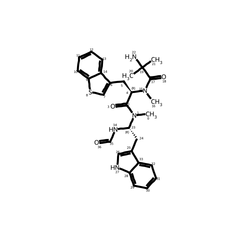 CN(C(=O)[C@@H](Cc1csc2ccccc12)N(C)C(=O)C(C)(C)N)[C@H](Cc1c[nH]c2ccccc12)NC=O